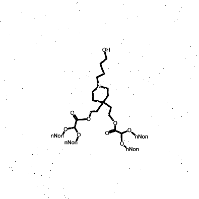 CCCCCCCCCOC(OCCCCCCCCC)C(=O)OCCC1(CCOC(=O)C(OCCCCCCCCC)OCCCCCCCCC)CCN(CCCCO)CC1